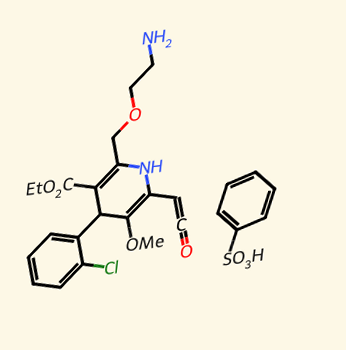 CCOC(=O)C1=C(COCCN)NC(C=C=O)=C(OC)C1c1ccccc1Cl.O=S(=O)(O)c1ccccc1